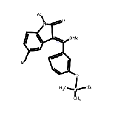 CO/C(=C1\C(=O)N(C(C)=O)c2ccc(Br)cc21)c1cccc(O[Si](C)(C)C(C)(C)C)c1